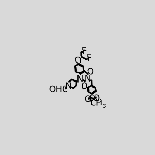 CS(=O)(=O)c1ccc(Cn2c(=O)c3cc(OC(CF)CF)ccc3n(C3CCN(C=O)CC3)c2=O)cc1